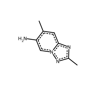 Cc1nc2cc(C)c(N)cn2n1